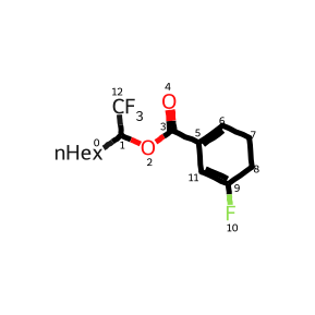 CCCCCCC(OC(=O)C1=CCCC(F)=C1)C(F)(F)F